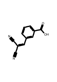 N#CC(C#N)=Cc1cccc(C(=O)O)c1